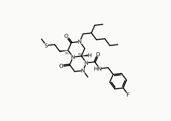 CCCCC(CC)CN1C[C@H]2N(C(=O)CN(C)N2C(=O)NCc2ccc(F)cc2)[C@@H](CCSC)C1=O